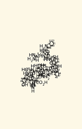 C[C@H](NC(=O)[C@H](CCCNC(=N)N)NC(=O)[C@@H](N)Cc1ccccc1)C(=O)N[C@@H](CS)C(=O)N1CCC[C@H]1C(=O)N[C@@H](Cc1ccccc1)C(=O)N[C@@H](CC(=O)O)C(=O)N[C@@H](CS)C(=O)N[C@H](C(=O)NCC(=O)N[C@@H](CO)C(=O)N[C@@H](Cc1ccc(O)cc1)C(=O)N[C@@H](Cc1c[nH]cn1)C(=O)N[C@@H](CCCCN)C(=O)O)[C@@H](C)O